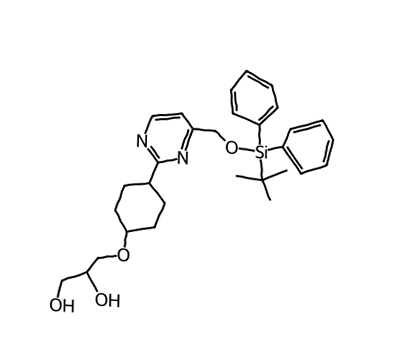 CC(C)(C)[Si](OCc1ccnc(C2CCC(OCC(O)CO)CC2)n1)(c1ccccc1)c1ccccc1